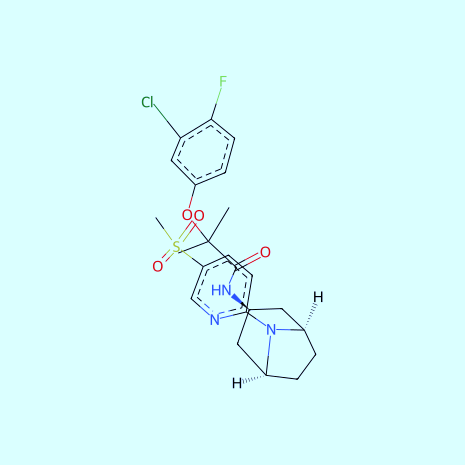 CC(C)(Oc1ccc(F)c(Cl)c1)C(=O)N[C@H]1C[C@H]2CC[C@@H](C1)N2c1ccc(S(C)(=O)=O)cn1